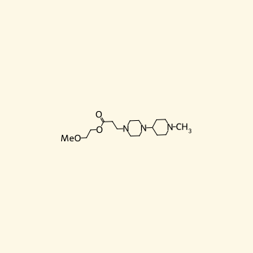 COCCOC(=O)CCN1CCN(C2CCN(C)CC2)CC1